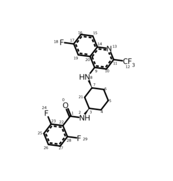 O=C(N[C@@H]1CCC[C@H](Nc2cc(C(F)(F)F)nc3ccc(F)cc23)C1)c1c(F)cccc1F